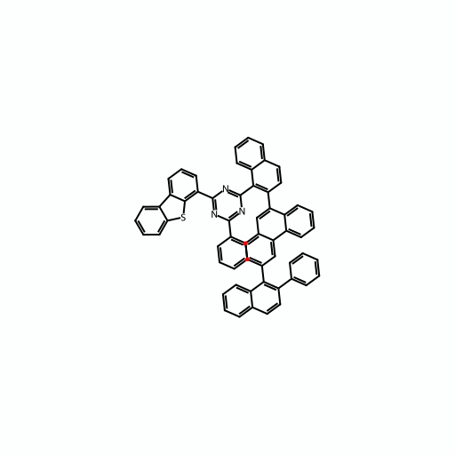 c1ccc(-c2nc(-c3c(-c4cc5ccc(-c6c(-c7ccccc7)ccc7ccccc67)cc5c5ccccc45)ccc4ccccc34)nc(-c3cccc4c3sc3ccccc34)n2)cc1